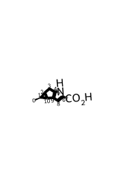 C[C@H]1C2Cc3[nH]c(C(=O)O)cc3C21